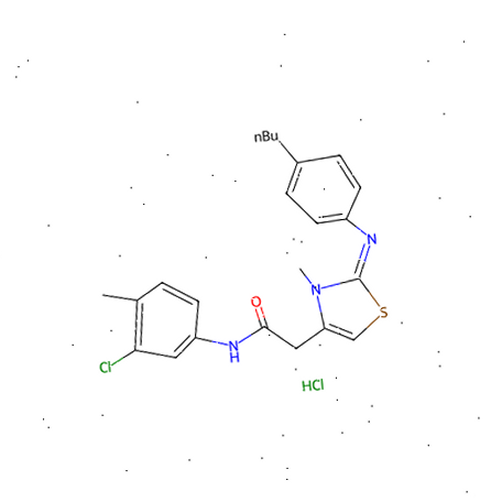 CCCCc1ccc(/N=c2/scc(CC(=O)Nc3ccc(C)c(Cl)c3)n2C)cc1.Cl